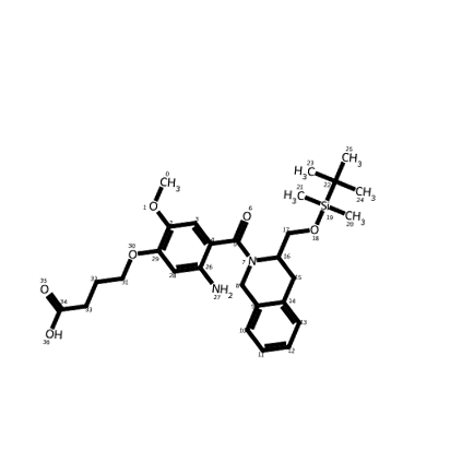 COc1cc(C(=O)N2Cc3ccccc3CC2CO[Si](C)(C)C(C)(C)C)c(N)cc1OCCCC(=O)O